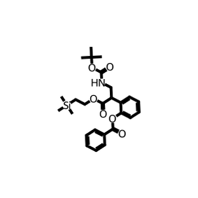 CC(C)(C)OC(=O)NCC(C(=O)OCC[Si](C)(C)C)c1ccccc1OC(=O)c1ccccc1